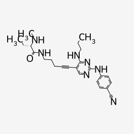 CCCNc1nc(Nc2ccc(C#N)cc2)ncc1C#CCCCNC(=O)[C@H](CC)NC